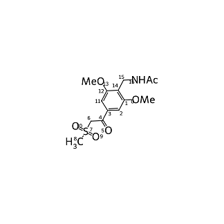 COc1cc(C(=O)CS(C)(=O)=O)cc(OC)c1CNC(C)=O